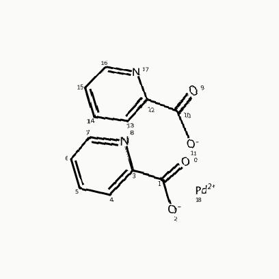 O=C([O-])c1ccccn1.O=C([O-])c1ccccn1.[Pd+2]